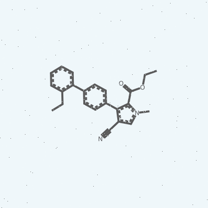 CCOC(=O)c1c(-c2ccc(-c3ccccc3CC)cc2)c(C#N)cn1C